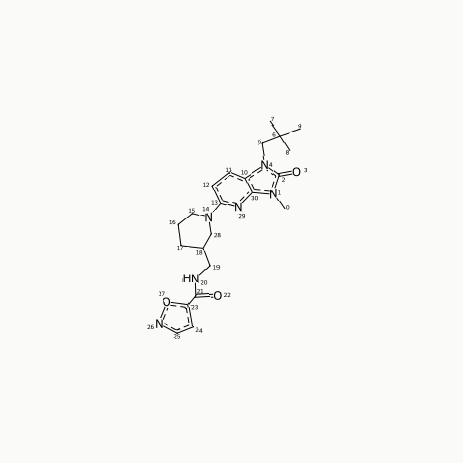 Cn1c(=O)n(CC(C)(C)C)c2ccc(N3CCCC(CNC(=O)c4ccno4)C3)nc21